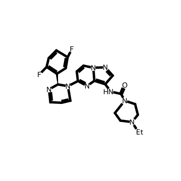 CCN1CCN(C(=O)Nc2cnn3ccc(N4C=CC=N[C@H]4c4cc(F)ccc4F)nc23)CC1